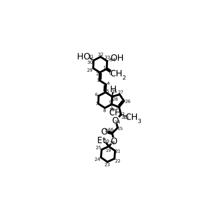 C=C1C(=CC=C2CCC[C@]3(C)C([C@H](C)OCC(=O)OC4(CC)CCCCC4)=CC[C@@H]23)C[C@@H](O)C[C@@H]1O